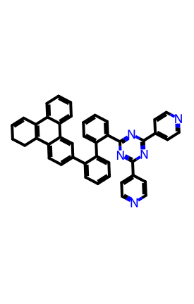 C1=Cc2c(c3ccc(-c4ccccc4-c4ccccc4-c4nc(-c5ccncc5)nc(-c5ccncc5)n4)cc3c3ccccc23)CC1